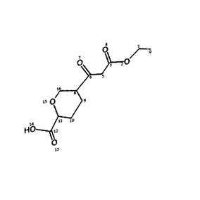 CCOC(=O)CC(=O)C1CCC(C(=O)O)OC1